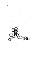 CC(C)(C)c1cc2c3c(c1)CCc1c-3c(c3c4cc5c(cc4n4c6cc7c(cc6c1c34)C1CCC(C7=O)c3ccccc31)C(=O)C1CCC5c3ccccc31)CC2